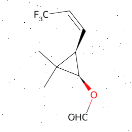 CC1(C)[C@H](OC=O)[C@@H]1/C=C\C(F)(F)F